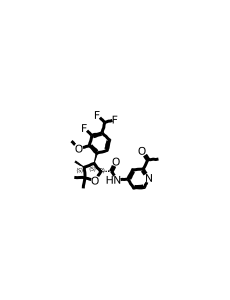 COc1c([C@H]2[C@H](C(=O)Nc3ccnc(C(C)=O)c3)OC(C)(C)[C@H]2C)ccc(C(F)F)c1F